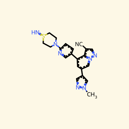 Cn1cc(-c2cc(-c3ccc(N4CCS(=N)CC4)nc3)c3c(C#N)cnn3c2)cn1